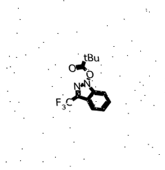 CC(C)(C)C(=O)On1nc(C(F)(F)F)c2ccccc21